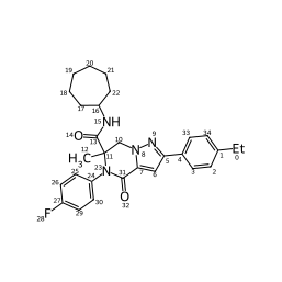 CCc1ccc(-c2cc3n(n2)CC(C)(C(=O)NC2CCCCCC2)N(c2ccc(F)cc2)C3=O)cc1